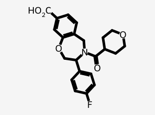 O=C(O)c1ccc2c(c1)OCC(c1ccc(F)cc1)N(C(=O)C1CCOCC1)C2